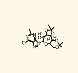 Cc1nc(Cl)c2ncn([C@@H]3OC4COC(C)(C)O[C@H]4[C@@H]4OC(C)(C)OC4[C@]3(C)O)c2n1